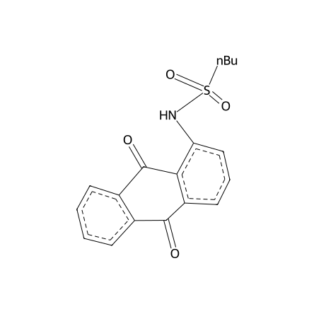 CCCCS(=O)(=O)Nc1cccc2c1C(=O)c1ccccc1C2=O